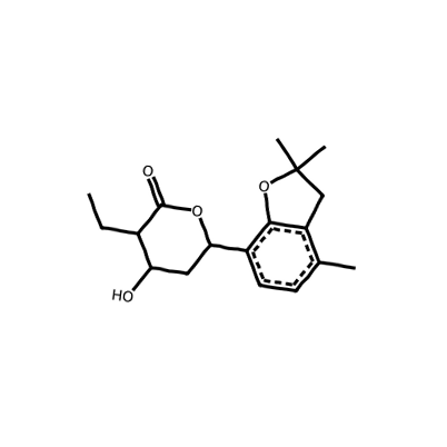 CCC1C(=O)OC(c2ccc(C)c3c2OC(C)(C)C3)CC1O